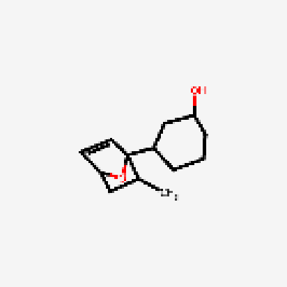 CC1CC2C=CC1(C1CCCC(O)C1)O2